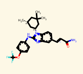 C[C@H]1C[C@@H](n2c(Nc3ccc(OC(F)(F)F)cc3)nc3cc(/C=C/C(N)=O)ccc32)CC(C)(C)C1